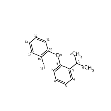 CC(C)c1ccccc1Oc1ccc[c]c1I